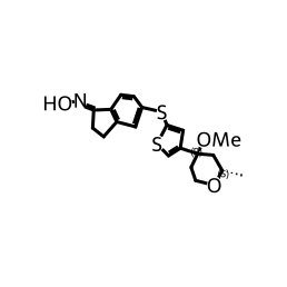 CO[C@]1(c2csc(Sc3ccc4c(c3)CCC4=NO)c2)CCO[C@@H](C)C1